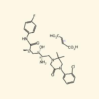 C[C@H](C[C@H](O)[C@@H](N)CN1CC(=O)N(c2ccccc2Cl)CC1(C)C)C(=O)Nc1ccc(F)cc1.O=C(O)/C=C/C(=O)O